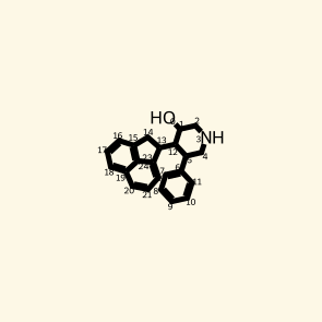 OC1CNCC(c2ccccc2)C1C1Cc2cccc3cccc1c23